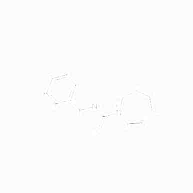 O=C([N]Cc1ccccc1)N1CCCCCC1